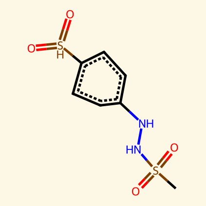 CS(=O)(=O)NNc1ccc([SH](=O)=O)cc1